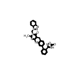 CCCCc1nc(C)n(CN2N=NC3C=CC=CC32)c(=O)c1Cc1ccc(-c2ccccc2-c2noc(=O)[nH]2)cc1